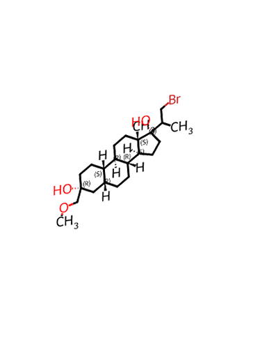 COC[C@@]1(O)CC[C@H]2[C@H](CC[C@@H]3[C@@H]2CC[C@@]2(C)[C@H]3CC[C@]2(O)C(C)CBr)C1